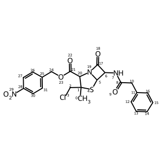 CC1(CCl)SC2C(NC(=O)Cc3ccccc3)C(=O)N2C1C(=O)OCc1ccc([N+](=O)[O-])cc1